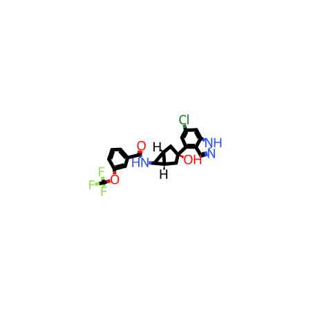 O=C(NC1[C@H]2C[C@](O)(c3cc(Cl)cc4[nH]ncc34)C[C@@H]12)c1cccc(OC(F)(F)F)c1